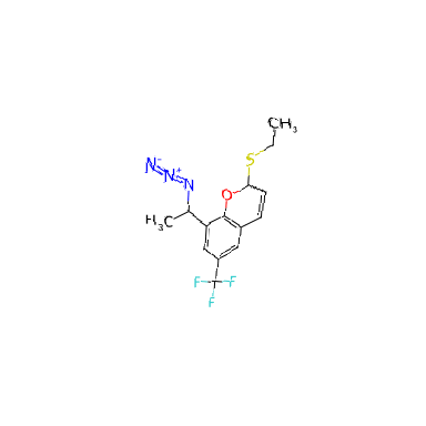 CCSC1C=Cc2cc(C(F)(F)F)cc(C(C)N=[N+]=[N-])c2O1